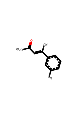 CC(C)COC(=O)C=C(C#N)c1cccc(C#N)c1